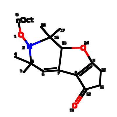 CCCCCCCCON1C(C)(C)C=C2C3=C(CCC3=O)OC2C1(C)C